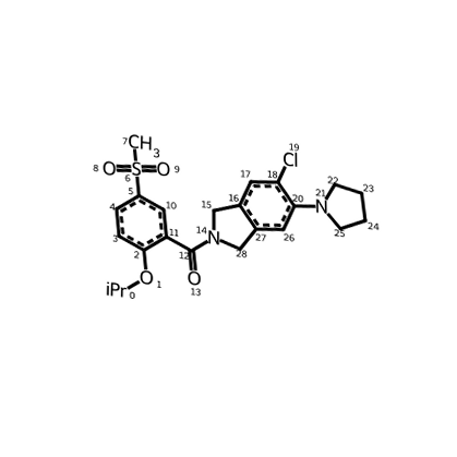 CC(C)Oc1ccc(S(C)(=O)=O)cc1C(=O)N1Cc2cc(Cl)c(N3CCCC3)cc2C1